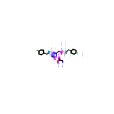 O=C(CC1C(=O)N(C(Cl)Cc2ccc(Cl)cc2)CC(=O)N1Cc1ccncc1)NC(Cl)Cc1ccc(Cl)cc1